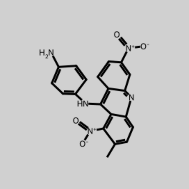 Cc1ccc2nc3cc([N+](=O)[O-])ccc3c(Nc3ccc(N)cc3)c2c1[N+](=O)[O-]